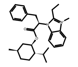 CCc1n([C@H](Cc2ccccc2)C(=O)O[C@@H]2C[C@H](C)CC[C@H]2C(C)C)c2ccccc2[n+]1C